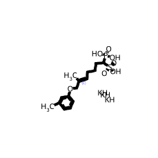 C/C(=C\CCCC(P(=O)(O)O)S(=O)(=O)O)COc1cccc(C)c1.[KH].[KH].[KH]